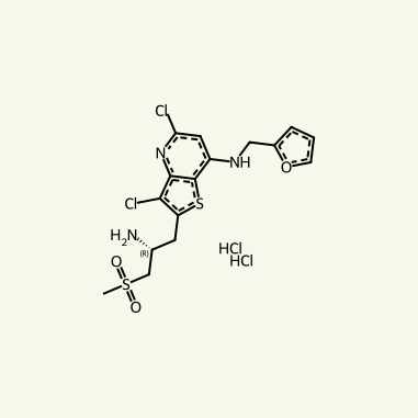 CS(=O)(=O)C[C@H](N)Cc1sc2c(NCc3ccco3)cc(Cl)nc2c1Cl.Cl.Cl